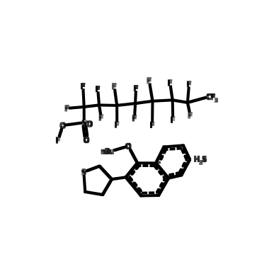 CCCCOc1c(C2CCSC2)ccc2ccccc12.O=S(=O)(OF)C(F)(F)C(F)(F)C(F)(F)C(F)(F)C(F)(F)C(F)(F)C(F)(F)C(F)(F)F.S